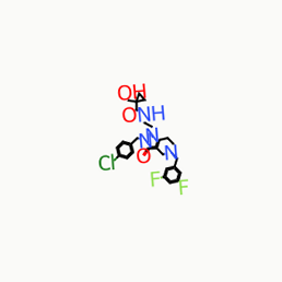 O=C(NCCn1c2c(c(=O)n1Cc1ccc(Cl)cc1)CN(Cc1cc(F)cc(F)c1)CC2)C1(CO)CC1